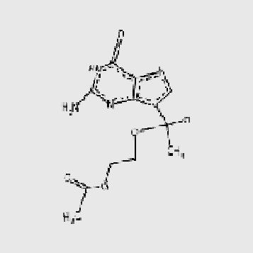 CC(=O)OCCOC(C)(Cl)n1cnc2c(=O)[nH]c(N)nc21